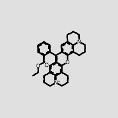 CCOC(=O)c1ccccc1C1=c2cc3c4c(c2Oc2c1cc1c5c2CCCN5CCC1)CCC[N+]=4CCC3